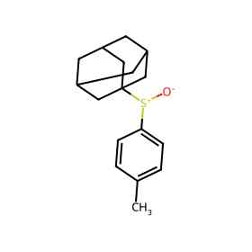 Cc1ccc([S+]([O-])C23CC4CC(CC(C4)C2)C3)cc1